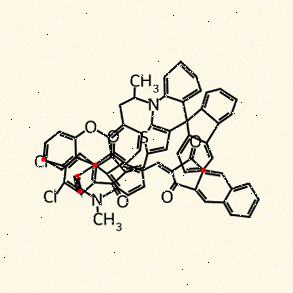 CC(Cc1cccc2c1Oc1ccccc1C21c2ccccc2N(C)c2ccc(C=C3C(=O)c4cc5ccccc5cc4C3=O)cc21)N1c2ccccc2C2(c3ccccc3-c3ccccc32)c2cc(C=C3C(=O)c4cc(Cl)c(Cl)cc4C3=O)sc21